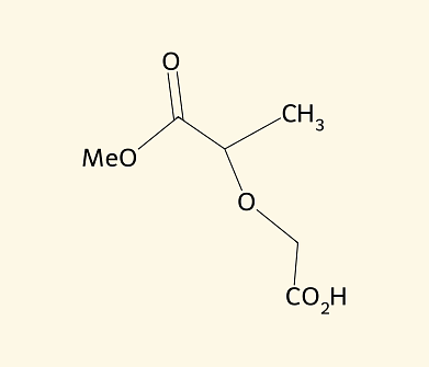 COC(=O)C(C)OCC(=O)O